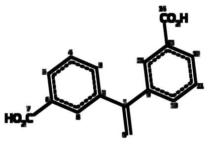 C=C(c1cccc(C(=O)O)c1)c1cccc(C(=O)O)c1